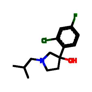 CC(C)CN1CCC(O)(c2ccc(F)cc2Cl)C1